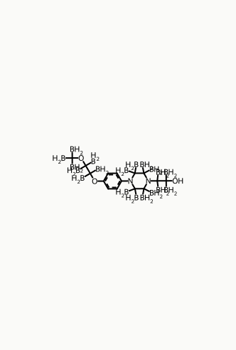 BC(B)(B)OC(B)(B)C(B)(B)Oc1ccc(N2C(B)(B)C(B)(B)N(C(B)(B)C(B)(B)O)C(B)(B)C2(B)B)cc1